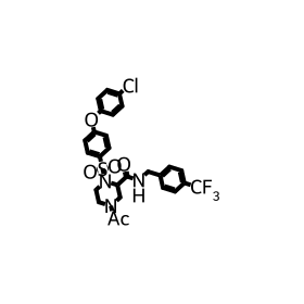 CC(=O)N1CCN(S(=O)(=O)c2ccc(Oc3ccc(Cl)cc3)cc2)C(C(=O)NCc2ccc(C(F)(F)F)cc2)C1